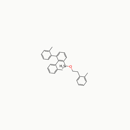 Cc1ccccc1CCO[SiH2]c1cccc(-c2ccccc2C)c1-c1ccccc1C